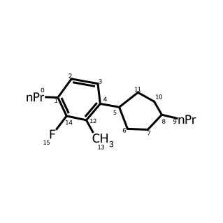 CCCc1ccc(C2CCC(CCC)CC2)c(C)c1F